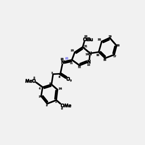 COc1ccc(OC)c(CC(=O)/N=c2\cnn(-c3ccccc3)c(OCC(C)C)c2)c1